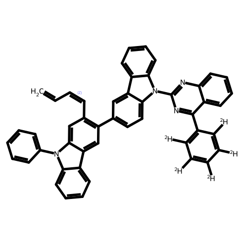 [2H]c1c([2H])c([2H])c(-c2nc(-n3c4ccccc4c4cc(-c5cc6c7ccccc7n(-c7ccccc7)c6cc5/C=C\C=C)ccc43)nc3ccccc23)c([2H])c1[2H]